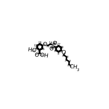 CCCCCCOc1ccc(S(=O)(=O)CCOc2ccc(O)c(C(=O)O)c2)cc1